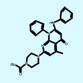 Cc1cc(N2CCN(C(=O)C(C)(C)C)CC2)nc2c1c(=O)cc(Nc1ccccc1)n2-c1ccccc1